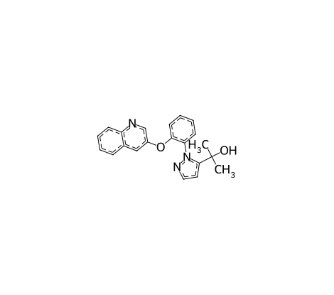 CC(C)(O)c1ccnn1-c1ccccc1Oc1cnc2ccccc2c1